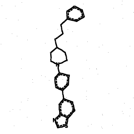 c1ccc(CCCC2CCN(c3ccc(-c4ccc5scnc5c4)cc3)CC2)cc1